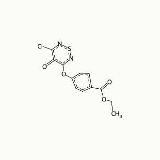 CCOC(=O)c1ccc(Oc2nsnc(Cl)c2=O)cc1